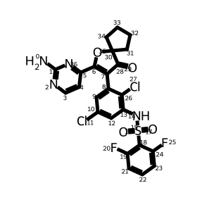 Nc1nccc(C2=C(c3cc(Cl)cc(NS(=O)(=O)c4c(F)cccc4F)c3Cl)C(=O)C3(CCCC3)O2)n1